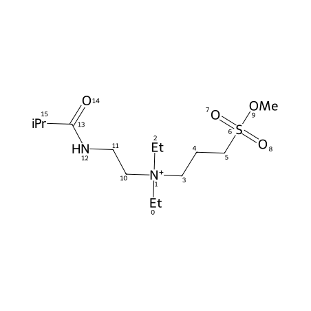 CC[N+](CC)(CCCS(=O)(=O)OC)CCNC(=O)C(C)C